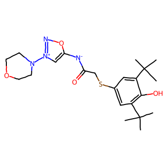 CC(C)(C)c1cc(SCC(=O)[N-]c2c[n+](N3CCOCC3)no2)cc(C(C)(C)C)c1O